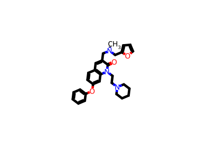 CN(Cc1ccco1)Cc1cc2ccc(Oc3ccccc3)cc2n(CCN2CCCCC2)c1=O